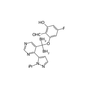 BC(B)(Oc1cc(F)cc(O)c1C=O)c1cncnc1-c1ccnn1C(C)C